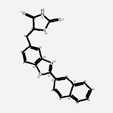 O=C1NC(=O)C(Cc2ccc3oc(-c4ccc5ccccc5c4)nc3c2)S1